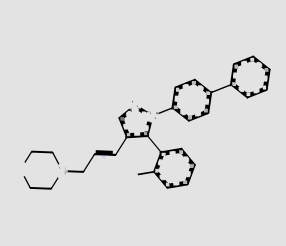 Fc1ccccc1-c1c(/C=C/CN2CCOCC2)cnn1-c1ccc(-c2ccccc2)cc1